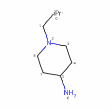 C[C](C)CN1CCC(N)CC1